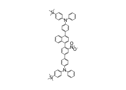 C[Si](C)(C)c1ccc(N(c2ccccc2)c2ccc(-c3ccc(-c4ccc(-c5ccc(N(c6ccccc6)c6ccc([Si](C)(C)C)cc6)cc5)c5ccccc45)c([N+](=O)[O-])c3)cc2)cc1